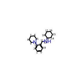 c1ccc(N2CCCCC2)c(CNC2CCCCC2)c1